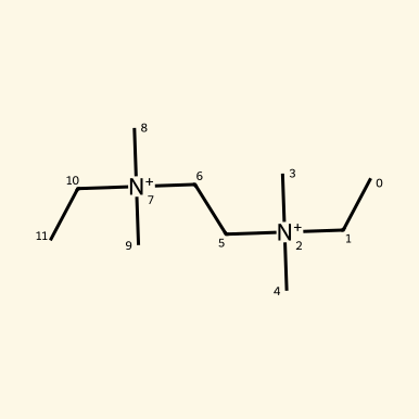 CC[N+](C)(C)CC[N+](C)(C)CC